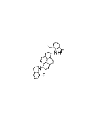 CCc1cccc(F)c1Nc1ccc2ccc3c(N4CCc5cccc(F)c54)ccc4ccc1c2c43